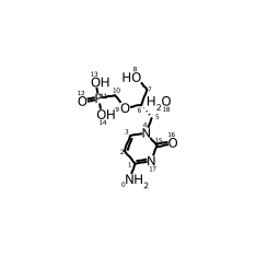 Nc1ccn(C[C@@H](CO)OCP(=O)(O)O)c(=O)n1.O